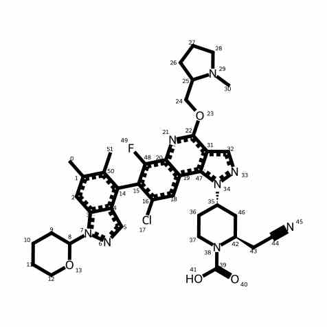 Cc1cc2c(cnn2C2CCCCO2)c(-c2c(Cl)cc3c(nc(OCC4CCCN4C)c4cnn([C@H]5CCN(C(=O)O)[C@H](CC#N)C5)c43)c2F)c1C